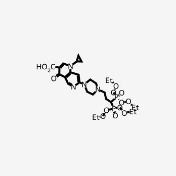 CCOOP(=O)(OOCC)C(CCN1CCN(c2cc3c(cn2)c(=O)c(C(=O)O)cn3C2CC2)CC1)P(=O)(OOCC)OOCC